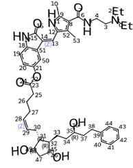 CCN(CC)CCNC(=O)c1c(C)[nH]c(/C=C2\C(=O)Nc3ccc(OC(=O)CCC/C=C\C[C@@H]4[C@@H](CC[C@@H](O)CCc5ccccc5)[C@H](O)C[C@@H]4O)cc32)c1C